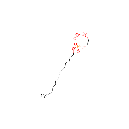 CCCCCCCCCCCCOP1(=O)OCCOOOOO1